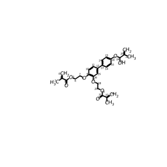 C=C(C)C(=O)OCCOc1ccc(-c2ccc(OC(O)C(=C)C)cc2)cc1OCCOC(=O)C(=C)C